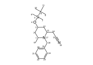 CC1CC(O[Si](C)(C)C(C)(C)C)CC(CC#N)N1Cc1ccccc1